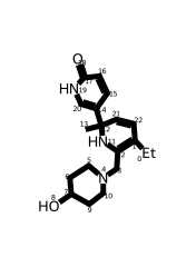 CCC1=C(CN2CCC(O)CC2)NC(C)(c2ccc(=O)[nH]c2)C=C1